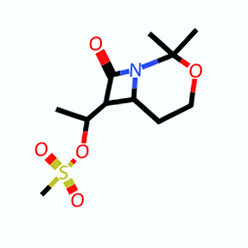 CC(OS(C)(=O)=O)C1C(=O)N2C1CCOC2(C)C